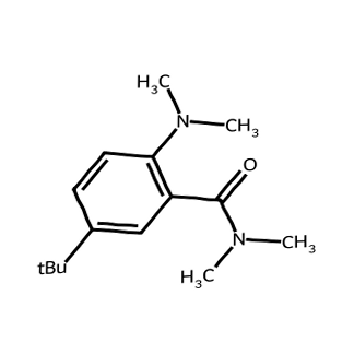 CN(C)C(=O)c1cc(C(C)(C)C)ccc1N(C)C